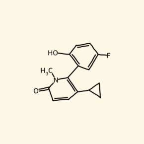 Cn1c(-c2cc(F)ccc2O)c(C2CC2)ccc1=O